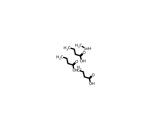 CCCC(=O)O.CCCC(=O)O.CCCC(=O)O.[CH3][SnH]